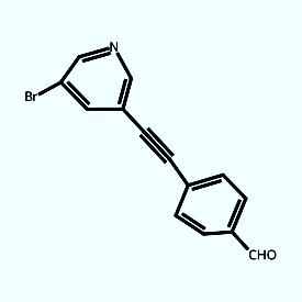 O=Cc1ccc(C#Cc2cncc(Br)c2)cc1